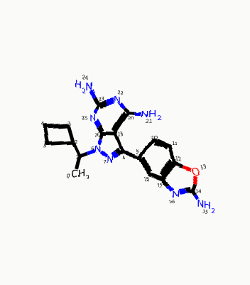 CC(C1CCC1)n1nc(-c2ccc3oc(N)nc3c2)c2c(N)nc(N)nc21